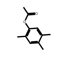 CC(=O)Oc1cc(C)c(C)cc1C